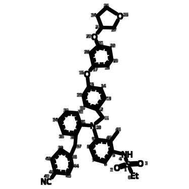 CCS(=O)(=O)Nc1cccc(N(Cc2ccc(Oc3cccc(OC4CCOC4)c3)cc2)c2ccccc2Cc2ccc(C#N)cc2)c1C